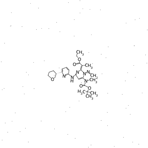 C=NN1C(N(C)C(=O)OC(C)(C)C)=CC(Nc2cccc([C@H]3CCCOC3)n2)=N/C1=C(/C)C(=O)OCC